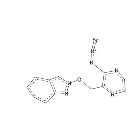 [N-]=[N+]=Nc1nccnc1COn1cc2ccccc2n1